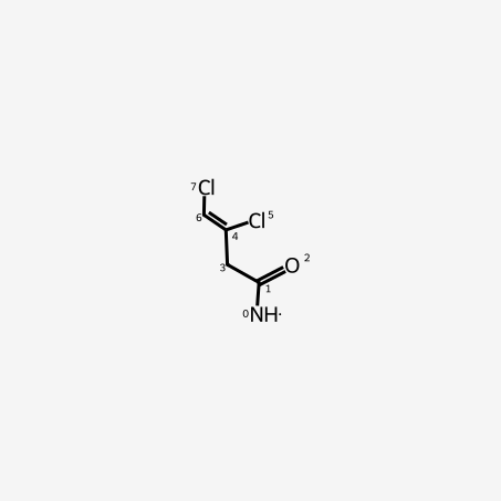 [NH]C(=O)C/C(Cl)=C/Cl